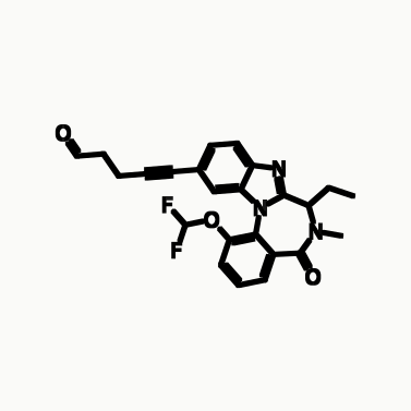 CCC1c2nc3ccc(C#CCCC=O)cc3n2-c2c(OC(F)F)cccc2C(=O)N1C